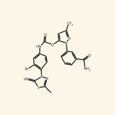 Cc1nn(-c2ccc(NC(=O)Oc3cc(C(F)(F)F)nn3-c3cccc(C(N)=O)c3)cc2Br)c(=N)s1